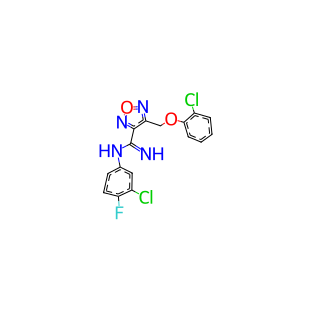 N=C(Nc1ccc(F)c(Cl)c1)c1nonc1COc1ccccc1Cl